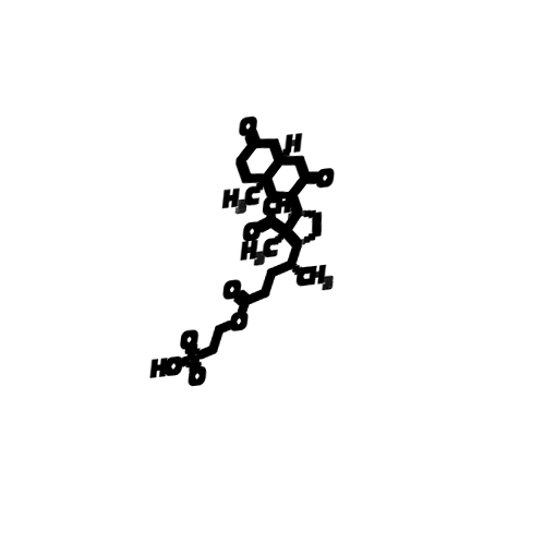 CC(=O)[C@]1(C)[C@@H]([C@H](C)CCC(=O)OCCS(=O)(=O)O)CC[C@H]1[C@H]1C[C@@]2(C)CCC(=O)C[C@H]2CC1=O